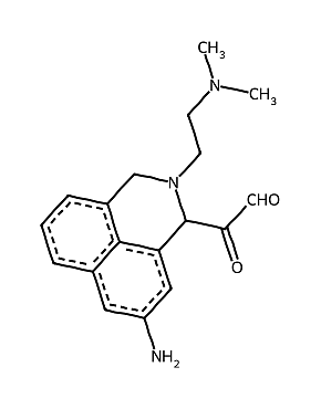 CN(C)CCN1Cc2cccc3cc(N)cc(c23)C1C(=O)C=O